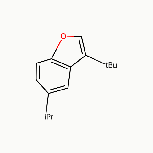 CC(C)c1ccc2occ(C(C)(C)C)c2c1